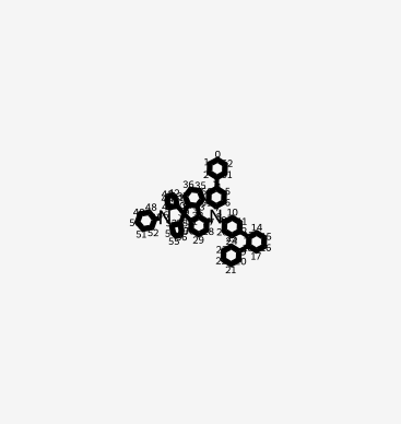 c1ccc(-c2ccc(N(c3ccc(-c4ccccc4-c4ccccc4)cc3)c3cccc4c3-c3ccccc3C43c4ccccc4N(c4ccccc4)c4ccccc43)cc2)cc1